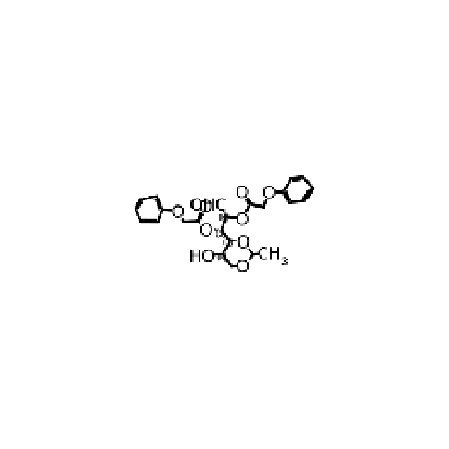 CC1OC[C@@H](O)[C@H]([C@H](OC(=O)COc2ccccc2)[C@H](C=O)OC(=O)COc2ccccc2)O1